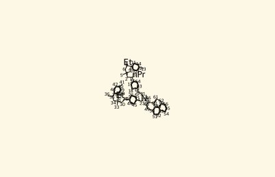 CCCC(CC(C)(C)CC(CC)c1ccc(C)cc1)c1ccc(CCN(Cc2ccc(C(CC)CC(C)(C)CC(C)c3ccc(C)cc3)cc2)CC2C=Cc3ccc4cccc5c4c3C2=CC5)cc1